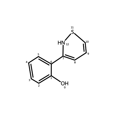 Oc1ccccc1C1=CC=CSN1